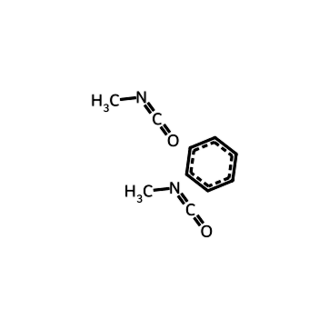 CN=C=O.CN=C=O.c1ccccc1